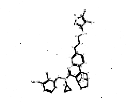 COc1cccc(CN(C(=O)C2=C(c3ccc(CCCOc4noc(C)c4F)cc3)CC3CCC2N3)C2CC2)c1C